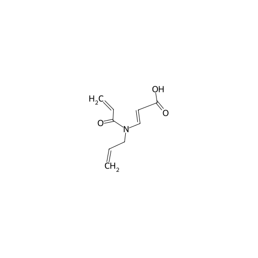 C=CCN(C=CC(=O)O)C(=O)C=C